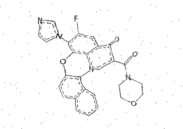 O=C(c1cn2c3c(c(-n4ccnc4)c(F)cc3c1=O)Oc1ccc3ccccc3c1-2)N1CCOCC1